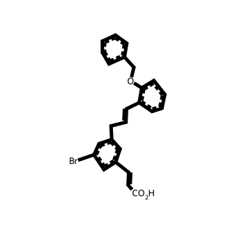 O=C(O)C=Cc1cc(Br)cc(CC=Cc2ccccc2OCc2ccccc2)c1